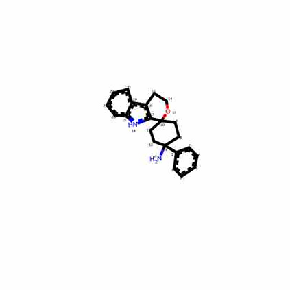 NC1(c2ccccc2)CCC2(CC1)OCCc1c2[nH]c2ccccc12